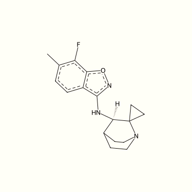 Cc1ccc2c(N[C@@H]3C4CCN(CC4)C34CC4)noc2c1F